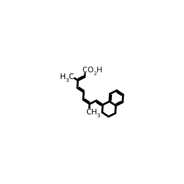 CC(C=C/C=C(C)\C=C1/CCCc2ccccc21)=CC(=O)O